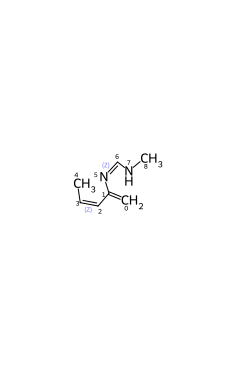 C=C(/C=C\C)/N=C\NC